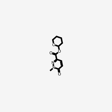 Cn1nc(C(=O)OC2CCCCO2)ccc1=O